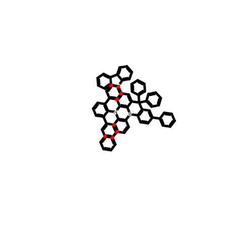 c1ccc(-c2ccc3c(c2)N(c2c(-c4ccccc4)cccc2-c2ccccc2)c2cc(-n4c5ccccc5c5ccccc54)cc4c2B3c2ccc(-c3ccccc3)cc2C4(c2ccccc2)c2ccccc2)cc1